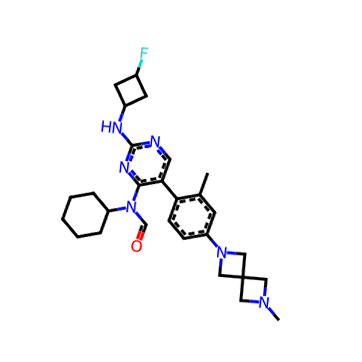 Cc1cc(N2CC3(CN(C)C3)C2)ccc1-c1cnc(NC2CC(F)C2)nc1N(C=O)C1CCCCC1